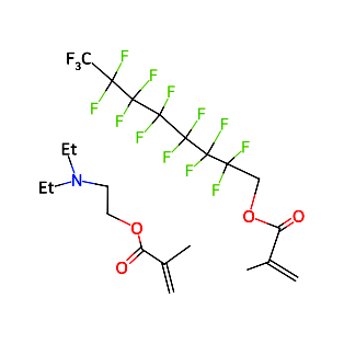 C=C(C)C(=O)OCC(F)(F)C(F)(F)C(F)(F)C(F)(F)C(F)(F)C(F)(F)C(F)(F)F.C=C(C)C(=O)OCCN(CC)CC